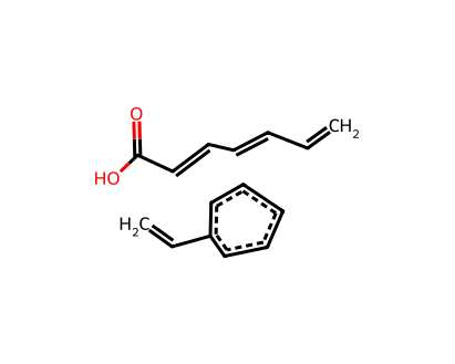 C=CC=CC=CC(=O)O.C=Cc1ccccc1